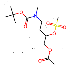 CC(=O)OCC(CCN(C)C(=O)OC(C)(C)C)OS(C)(=O)=O